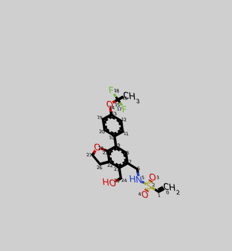 C=CS(=O)(=O)NCc1cc(-c2ccc(OC(C)(F)F)cc2)c2c(c1CO)CCO2